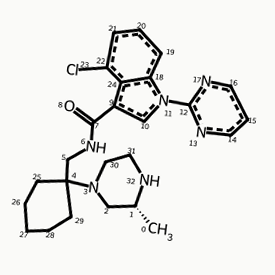 C[C@@H]1CN(C2(CNC(=O)c3cn(-c4ncccn4)c4cccc(Cl)c34)CCCCC2)CCN1